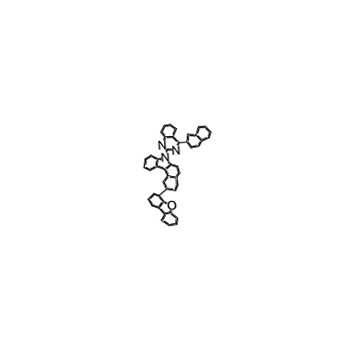 c1ccc2cc(-c3nc(-n4c5ccccc5c5c6cc(-c7cccc8c7oc7ccccc78)ccc6ccc54)nc4ccccc34)ccc2c1